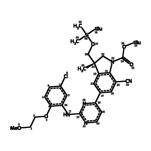 COCCOc1ccc(Cl)cc1Nc1nccc(-c2cc(C#N)c3c(c2)[C@](C)(CO[Si](C)(C)C(C)(C)C)CN3C(=O)OC(C)(C)C)n1